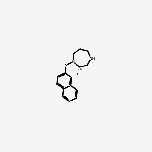 C[C@H]1CNCCCN1Sc1ccc2cnccc2c1